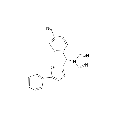 N#Cc1ccc(C(c2ccc(-c3ccccc3)o2)n2cnnc2)cc1